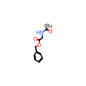 CC(C)(C)C(=O)NCC(=O)OCc1ccccc1